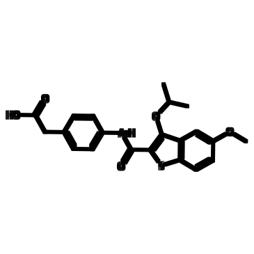 COc1ccc2sc(C(=O)[AsH]c3ccc(CC(=O)O)cc3)c(OC(C)C)c2c1